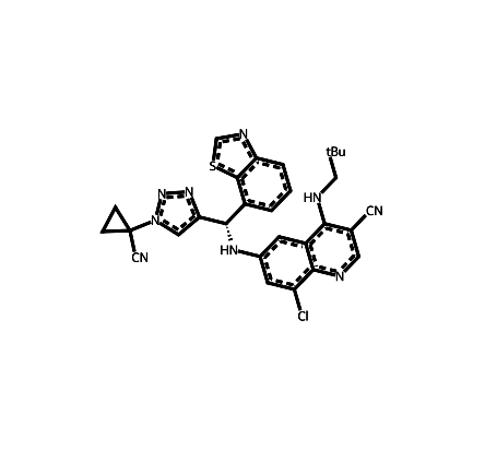 CC(C)(C)CNc1c(C#N)cnc2c(Cl)cc(N[C@H](c3cn(C4(C#N)CC4)nn3)c3cccc4ncsc34)cc12